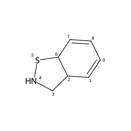 C1=CC2CNSC2C=C1